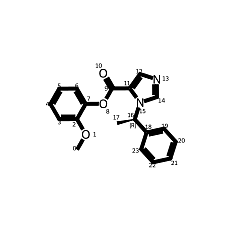 COc1ccccc1OC(=O)c1cncn1[C@H](C)c1ccccc1